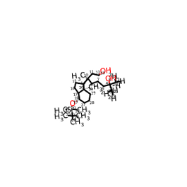 [2H]C([2H])([2H])C(O)(CCC[C@](C)(CCO)C1CCC2[C@@H](O[Si](C)(C)C(C)(C)C)CCC[C@@]21C)C([2H])([2H])[2H]